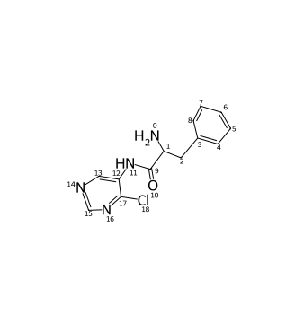 NC(Cc1ccccc1)C(=O)Nc1cncnc1Cl